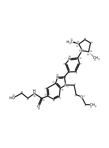 CCOCCn1c(-c2ccc(N3[C@@H](C)CC[C@@H]3C)nc2)nc2cc(C(=O)NCCO)ccc21